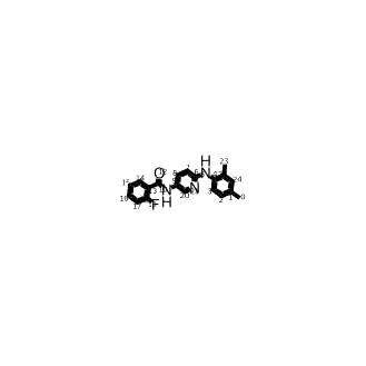 Cc1ccc(Nc2ccc(NC(=O)c3ccccc3F)cn2)c(C)c1